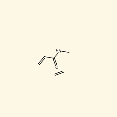 C=C.C=CC(=O)NC